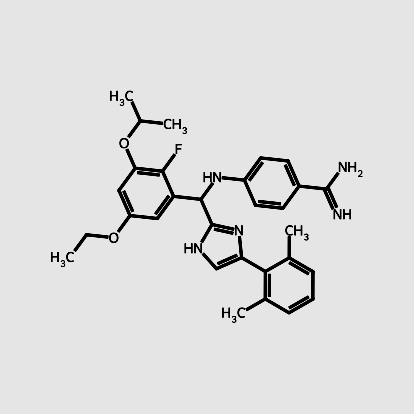 CCOc1cc(OC(C)C)c(F)c(C(Nc2ccc(C(=N)N)cc2)c2nc(-c3c(C)cccc3C)c[nH]2)c1